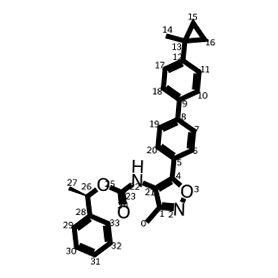 Cc1noc(-c2ccc(-c3ccc(C4(C)CC4)cc3)cc2)c1NC(=O)O[C@H](C)c1ccccc1